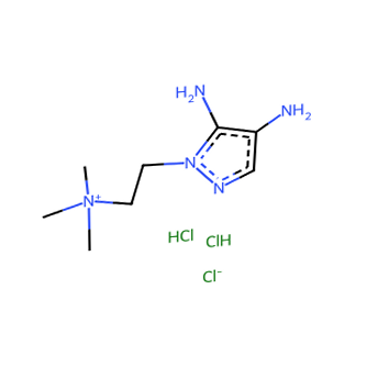 C[N+](C)(C)CCn1ncc(N)c1N.Cl.Cl.[Cl-]